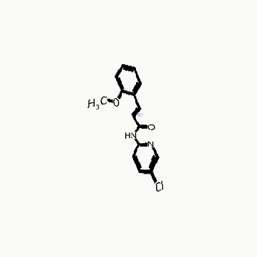 COc1ccccc1/C=C/C(=O)Nc1ccc(Cl)cn1